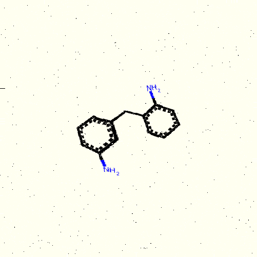 Nc1[c]ccc(Cc2ccccc2N)c1